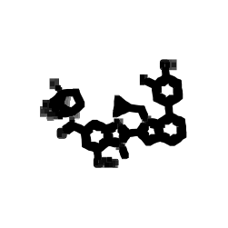 COc1cc(C(=O)[C@]23CC[C@H](CN2)[C@H]3N)cc2nc(-c3cc4cccc(-c5ccc(O)c(F)c5)c4n3CC3CC3)n(C)c12